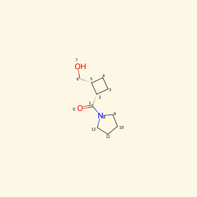 O=C([C@H]1CC[C@H]1CO)N1CCCC1